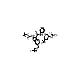 CC(C)(C)OC(=O)Nc1oc2cc(CN3CC(F)(F)C3)cnc2c1C(=O)Nc1cnccc1N1CC(NC(=O)O)CC(C(F)(F)F)C1